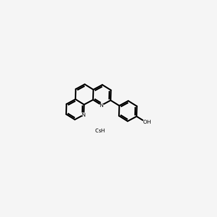 Oc1ccc(-c2ccc3ccc4cccnc4c3n2)cc1.[CsH]